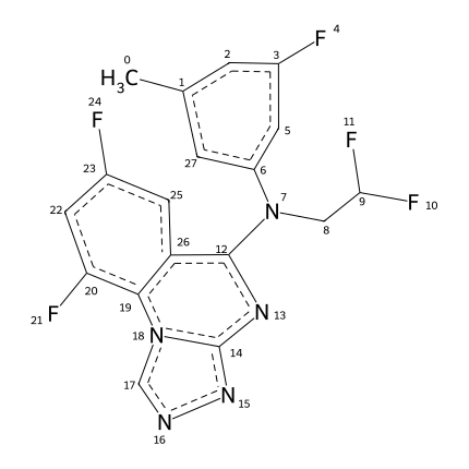 Cc1cc(F)cc(N(CC(F)F)c2nc3nncn3c3c(F)cc(F)cc23)c1